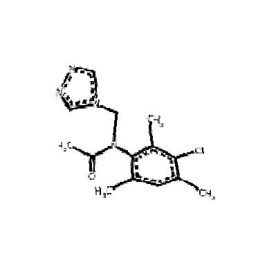 CC(=O)N(Cn1cnnc1)c1c(C)cc(C)c(Cl)c1C